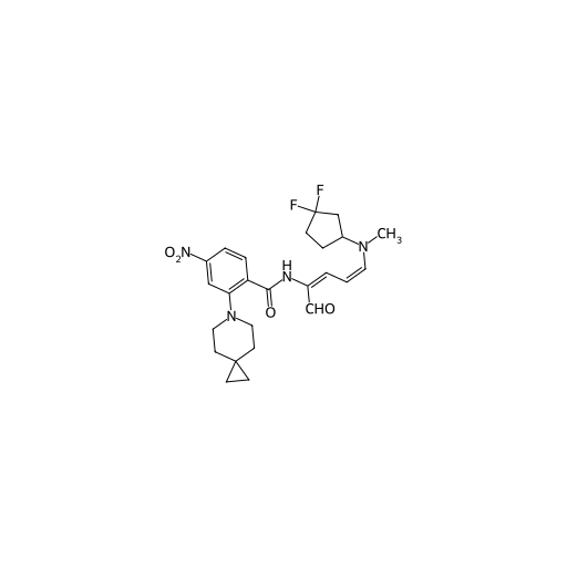 CN(/C=C\C=C(/C=O)NC(=O)c1ccc([N+](=O)[O-])cc1N1CCC2(CC1)CC2)C1CCC(F)(F)C1